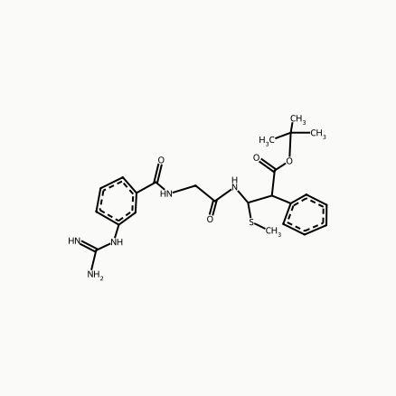 CSC(NC(=O)CNC(=O)c1cccc(NC(=N)N)c1)C(C(=O)OC(C)(C)C)c1ccccc1